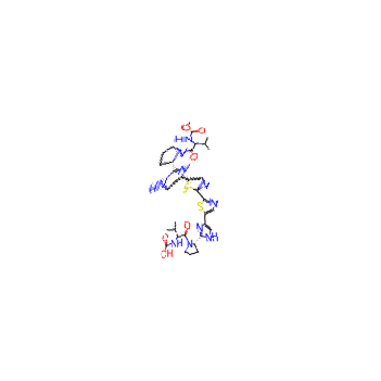 COC(=O)N[C@H](C(=O)N1CCC[C@H]1c1nc(-c2cnc(-c3ncc(-c4c[nH]c([C@@H]5CCCN5C(=O)[C@@H](NC(=O)O)C(C)C)n4)s3)s2)c[nH]1)C(C)C